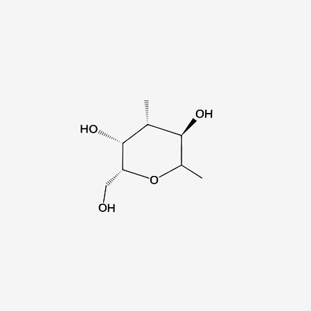 CC1O[C@H](CO)[C@H](O)[C@H](C)[C@H]1O